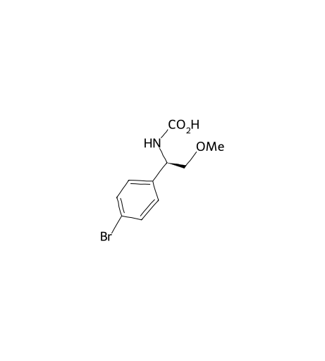 COC[C@H](NC(=O)O)c1ccc(Br)cc1